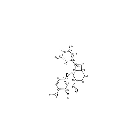 COc1ccc(Br)c(C(=O)N2CCC3CN(c4nc(C)cc(C)n4)C3C2)c1F